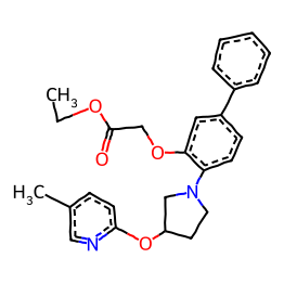 CCOC(=O)COc1cc(-c2ccccc2)ccc1N1CCC(Oc2ccc(C)cn2)C1